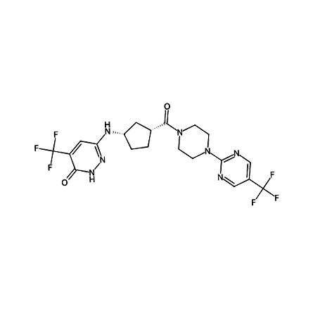 O=C([C@@H]1CC[C@H](Nc2cc(C(F)(F)F)c(=O)[nH]n2)C1)N1CCN(c2ncc(C(F)(F)F)cn2)CC1